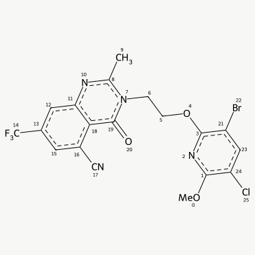 COc1nc(OCCn2c(C)nc3cc(C(F)(F)F)cc(C#N)c3c2=O)c(Br)cc1Cl